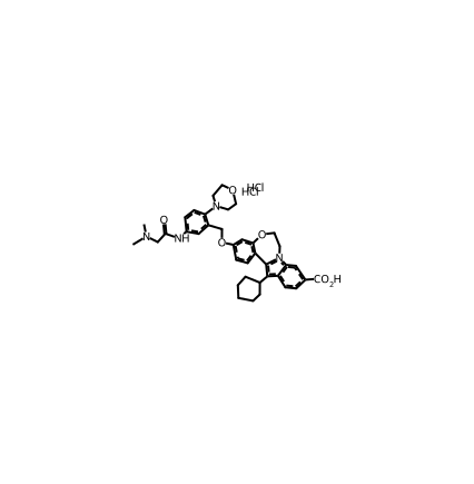 CN(C)CC(=O)Nc1ccc(N2CCOCC2)c(COc2ccc3c(c2)OCCn2c-3c(C3CCCCC3)c3ccc(C(=O)O)cc32)c1.Cl.Cl